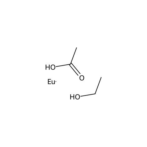 CC(=O)O.CCO.[Eu]